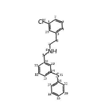 Clc1cccc(CCNCc2cccc(Sc3ccccc3)c2)c1